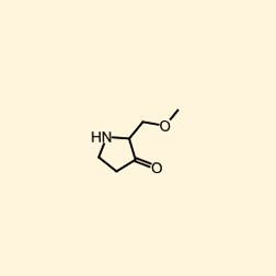 COCC1NCCC1=O